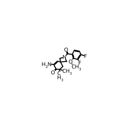 COc1c(C(=O)N2CC3(C=C(N)C(=O)C(C)(C)C3)C2)ccc(F)c1F